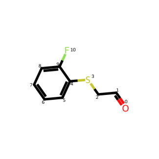 O=CCSc1ccccc1F